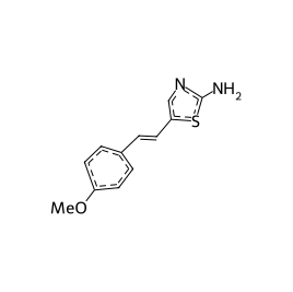 COc1ccc(/C=C/c2cnc(N)s2)cc1